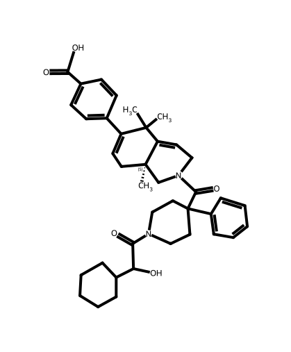 CC1(C)C(c2ccc(C(=O)O)cc2)=CC[C@]2(C)CN(C(=O)C3(c4ccccc4)CCN(C(=O)C(O)C4CCCCC4)CC3)CC=C12